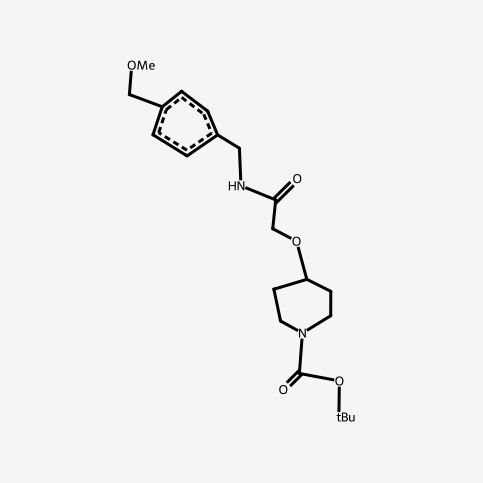 COCc1ccc(CNC(=O)COC2CCN(C(=O)OC(C)(C)C)CC2)cc1